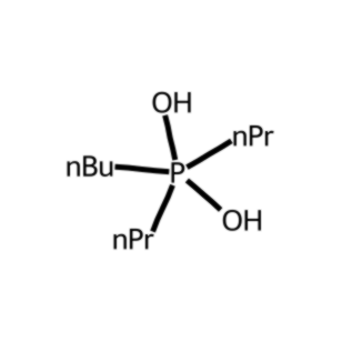 CCCCP(O)(O)(CCC)CCC